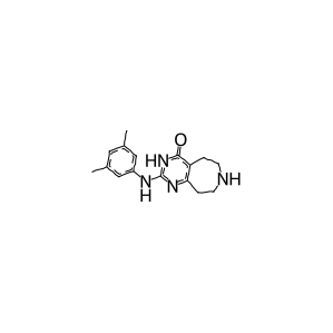 Cc1cc(C)cc(Nc2nc3c(c(=O)[nH]2)CCNCC3)c1